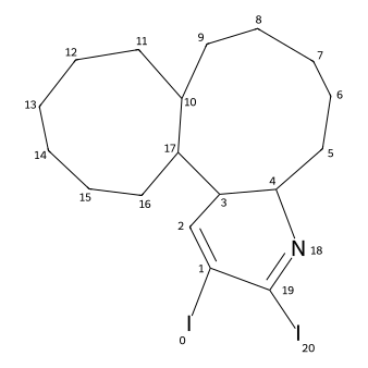 IC1=CC2C(CCCCCC3CCCCCCC32)N=C1I